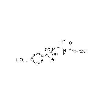 CC(C)C(CN[C@](C(=O)O)(c1ccc(CO)cc1)C(C)C)NC(=O)OC(C)(C)C